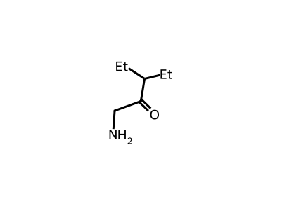 CCC(CC)C(=O)CN